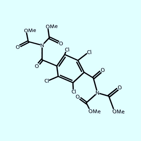 COC(=O)N(C(=O)OC)C(=O)c1c(Cl)c(Cl)c(C(=O)N(C(=O)OC)C(=O)OC)c(Cl)c1Cl